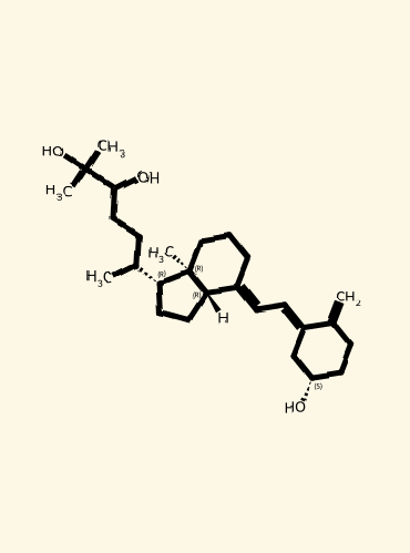 C=C1CC[C@H](O)CC1=CC=C1CCC[C@]2(C)[C@@H](C(C)CCC(O)C(C)(C)O)CC[C@@H]12